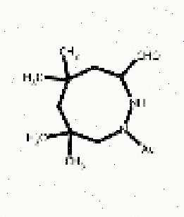 CC(=O)N1CC(C)(C)CC(C)(C)CC(C=O)N1